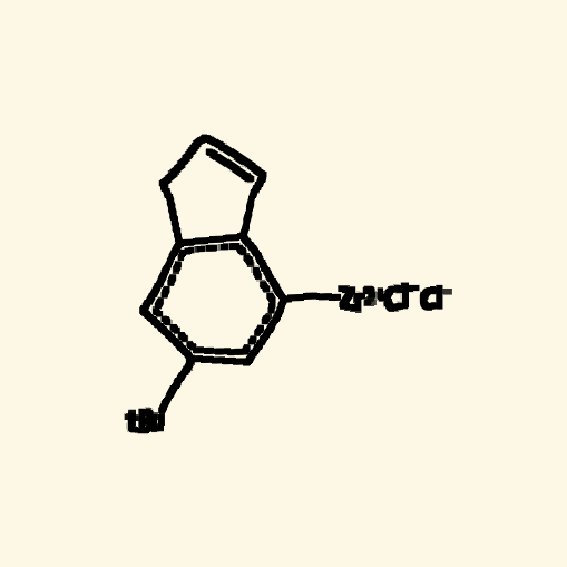 CC(C)(C)c1c[c]([Zr+2])c2c(c1)CC=C2.[Cl-].[Cl-]